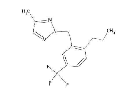 CCCc1ccc(C(F)(F)F)cc1Cn1ncc(C)n1